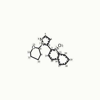 [O-][n+]1c(-c2ccnn2C2CCCCO2)ccc2ccccc21